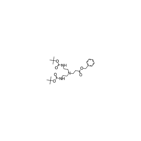 CC(C)(C)OC(=O)NCCN(CCNC(=O)OC(C)(C)C)CCC(=O)OCc1ccccc1